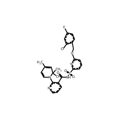 CC1=CC(C)(C)N(c2ncccc2C(=O)NS(=O)(=O)c2cccc(OCc3ccc(F)cc3Cl)n2)C=C1